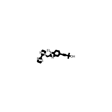 CCn1c(Cn2ccnc2-c2nccs2)nc2cc(C#CC(C)(C)O)ccc21